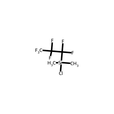 C[Si](C)(Cl)C(F)(F)C(F)(F)C(F)(F)F